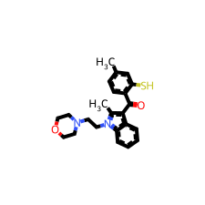 Cc1ccc(C(=O)c2c(C)n(CCN3CCOCC3)c3ccccc23)c(S)c1